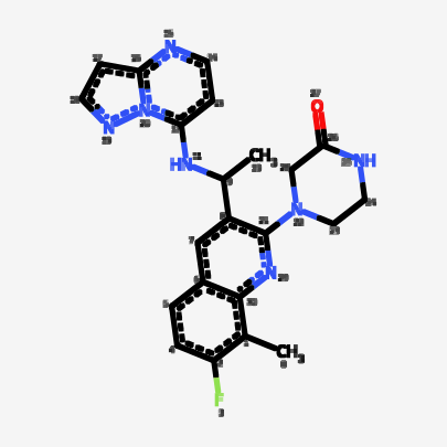 Cc1c(F)ccc2cc(C(C)Nc3ccnc4ccnn34)c(N3CCNC(=O)C3)nc12